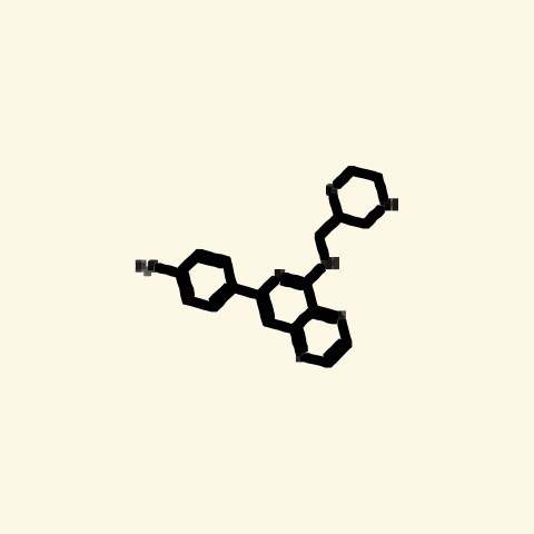 Cc1ccc(-c2cc3nccnc3c(NCC3CNCCO3)n2)cc1